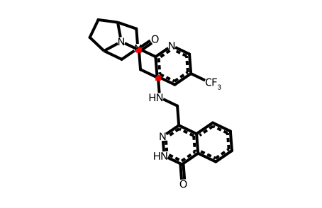 O=C(CCNCc1n[nH]c(=O)c2ccccc12)N1C2CCC1CN(c1ccc(C(F)(F)F)cn1)C2